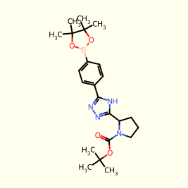 CC(C)(C)OC(=O)N1CCCC1c1nnc(-c2ccc(B3OC(C)(C)C(C)(C)O3)cc2)[nH]1